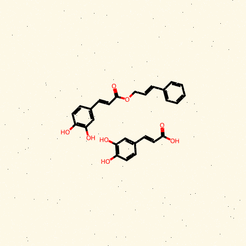 O=C(C=Cc1ccc(O)c(O)c1)OCC=Cc1ccccc1.O=C(O)C=Cc1ccc(O)c(O)c1